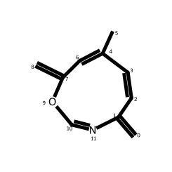 C=c1ccc(C)cc(=C)ocn1